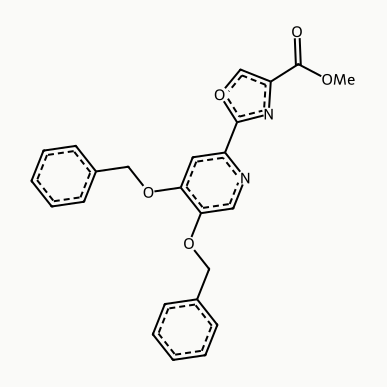 COC(=O)c1coc(-c2cc(OCc3ccccc3)c(OCc3ccccc3)cn2)n1